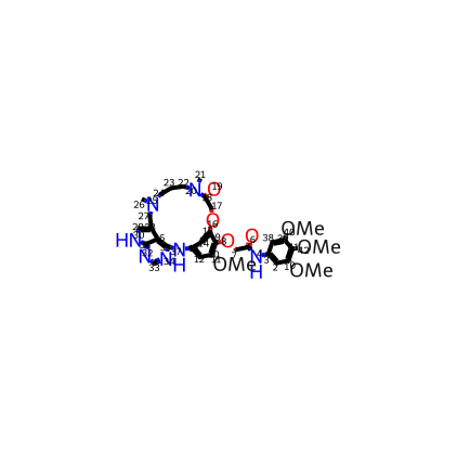 COc1cc(NC(=O)COc2c(OC)cc3cc2OCC(=O)N(C)CCCN(C)Cc2c[nH]c4ncnc(c24)N3)cc(OC)c1OC